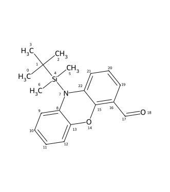 CC(C)(C)[Si](C)(C)N1c2ccccc2Oc2c(C=O)cccc21